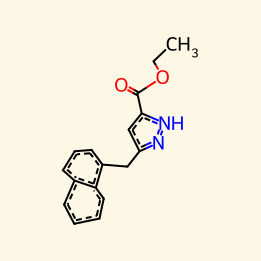 CCOC(=O)c1cc(Cc2cccc3ccccc23)n[nH]1